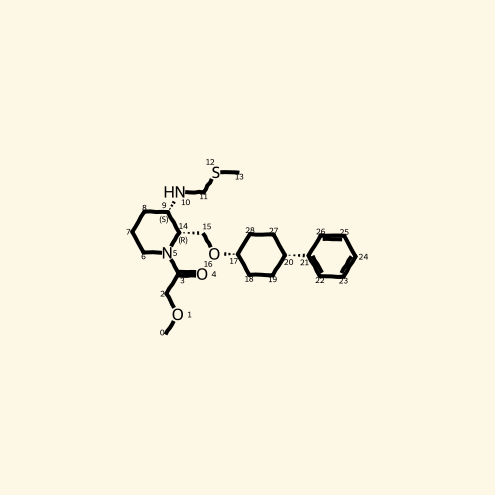 COCC(=O)N1CCC[C@H](NCSC)[C@@H]1CO[C@H]1CC[C@@H](c2ccccc2)CC1